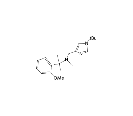 COc1ccccc1C(C)(C)N(C)Cc1cn(C(C)(C)C)cn1